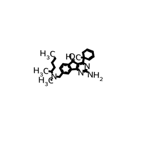 CCCCC(C)N(C)Cc1ccc2c(c1)-c1nc(N)nc(C3(C)C=CC=CC3)c1C2=O